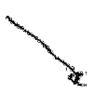 COCCOCCOCCOCCOCCOCCOCCOCCOCCOCCOCCOCCOCCOCCOCCOCCOCCOCCOCCOCCOCCOCCOCCOCCNC(=O)CCCCC[N+]1=c2cc3c(cc2C(CS(=O)(=O)O)=CC1(C)C)=C(C(F)(F)F)c1cc2c(cc1O3)N(CCCCCC(=O)ON1C(=O)CCC1=O)C(C)(C)C=C2CSOOO